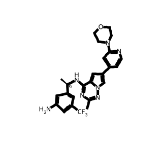 Cc1nc(N[C@H](C)c2cc(N)cc(C(F)(F)F)c2)c2cc(-c3ccnc(N4CCOCC4)c3)cn2n1